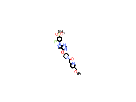 CC(C)OCc1ccc(CC(=O)N2CCC(Oc3ncnc4c3cnn4-c3ccc(S(C)(=O)=O)cc3F)CC2)nc1